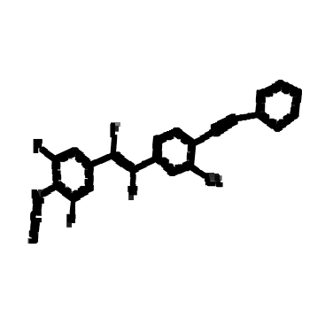 CCc1cc(/C(F)=C(\F)c2cc(F)c(N=C=S)c(F)c2)ccc1C#Cc1ccccc1